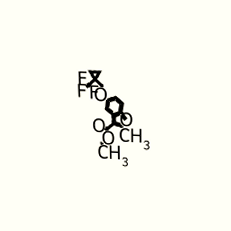 CCOC(=O)c1c(C)oc2ccc(OCC3(C(F)(F)F)CC3)cc12